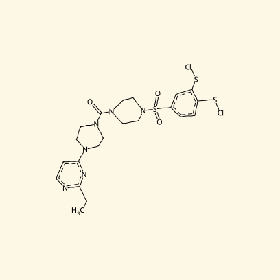 CCc1nccc(N2CCN(C(=O)N3CCN(S(=O)(=O)c4ccc(SCl)c(SCl)c4)CC3)CC2)n1